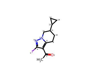 CC(=O)c1c(I)nn2c1CCC(C1CC1)C2